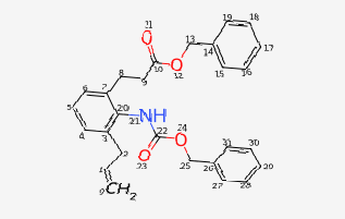 C=CCc1cccc(CCC(=O)OCc2ccccc2)c1NC(=O)OCc1ccccc1